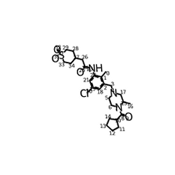 Cc1c(CN2CCN(C(=O)C3CCCC3)C(C)C2)cc(Cl)cc1NC(=O)CC1CCS(=O)(=O)CC1